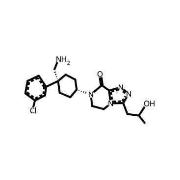 CC(O)Cc1nnc2n1CCN([C@H]1CC[C@](CN)(c3cccc(Cl)c3)CC1)C2=O